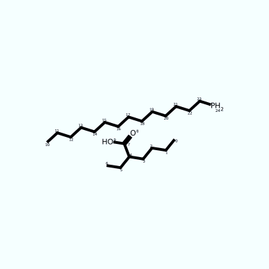 CCCCC(CC)C(=O)O.CCCCCCCCCCCCCCP